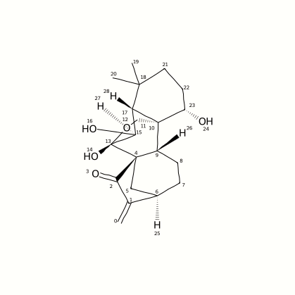 C=C1C(=O)[C@]23C[C@H]1CC[C@H]2[C@@]12CO[C@]3(O)[C@@H](O)[C@@H]1C(C)(C)CC[C@@H]2O